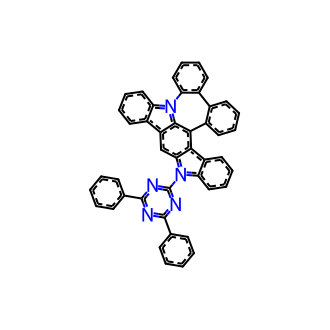 c1ccc(-c2nc(-c3ccccc3)nc(-n3c4ccccc4c4c5c6c(cc43)c3ccccc3n6-c3ccccc3-c3ccccc3-5)n2)cc1